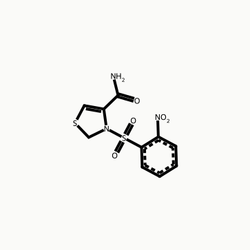 NC(=O)C1=CSCN1S(=O)(=O)c1ccccc1[N+](=O)[O-]